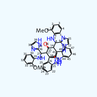 COc1ccccc1NC(c1ncc[nH]1)C(C(=O)C(c1c[nH]c2ccccc12)C(Nc1ccccc1OC)c1ncc[nH]1)c1c[nH]c2ccccc12